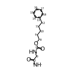 [NH]C(=O)CNC(=O)OCCCCCc1ccccc1